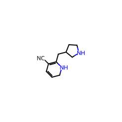 N#CC1=C(CC2CCNC2)NCC=C1